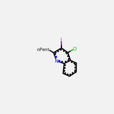 CCCCCc1nc2ccccc2c(Cl)c1I